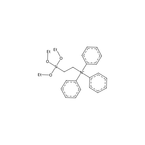 CCO[Si](CC[N+](c1ccccc1)(c1ccccc1)c1ccccc1)(OCC)OCC